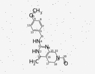 C=C1NC(NCc2ccc(OC)cc2)=NC2=C1CCN(C=O)C2